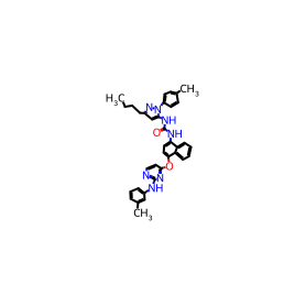 CCCCc1cc(NC(=O)Nc2ccc(Oc3ccnc(Nc4cccc(C)c4)n3)c3ccccc23)n(-c2ccc(C)cc2)n1